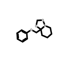 c1ccc(OCC23CCCCN2OCO3)cc1